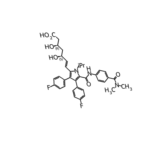 CC(C)n1c(C=C[C@@H](O)C[C@@H](O)CC(=O)O)c(-c2ccc(F)cc2)c(-c2ccc(F)cc2)c1C(=O)Nc1ccc(C(=O)N(C)C)cc1